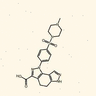 CN1CCN(S(=O)(=O)c2ccc(-n3nc(C(=O)O)c4c3-c3cn[nH]c3CC4)cc2)CC1